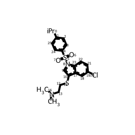 CC(C)c1ccc(S(=O)(=O)n2cc(SCCN(C)C)c3cc(Cl)ccc32)cc1